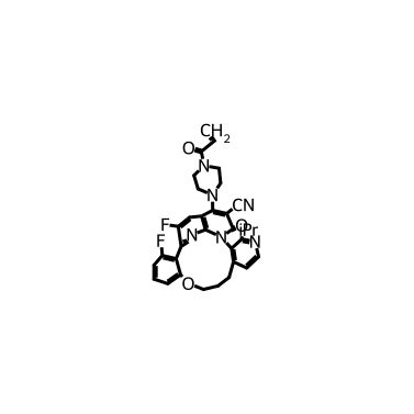 C=CC(=O)N1CCN(c2c(C#N)c(=O)n3c4nc(c(F)cc24)-c2c(F)cccc2OCCCc2ccnc(C(C)C)c2-3)CC1